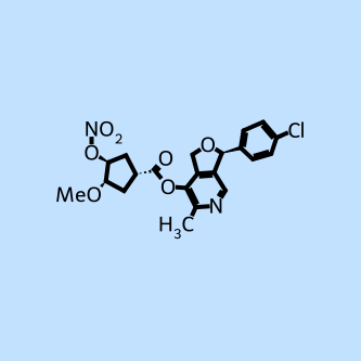 CO[C@H]1C[C@@H](C(=O)Oc2c(C)ncc3c2CO[C@H]3c2ccc(Cl)cc2)C[C@@H]1O[N+](=O)[O-]